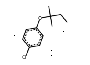 CCC(C)(C)Oc1ccc(Cl)cc1